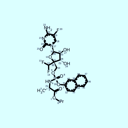 CC(C)OC(=O)[C@H](C)NP(=O)(OC[C@@]1(C(F)F)O[C@@H](n2cc(F)c(N)nc2=O)[C@@H](O)[C@@H]1O)Oc1ccc2ccccc2c1